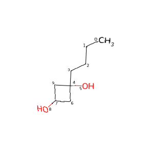 CCCCC1(O)CC(O)C1